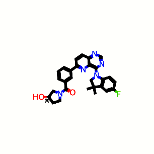 CC1(C)CN(c2ncnc3ccc(-c4cccc(C(=O)N5CC[C@@H](O)C5)c4)nc23)c2ccc(F)cc21